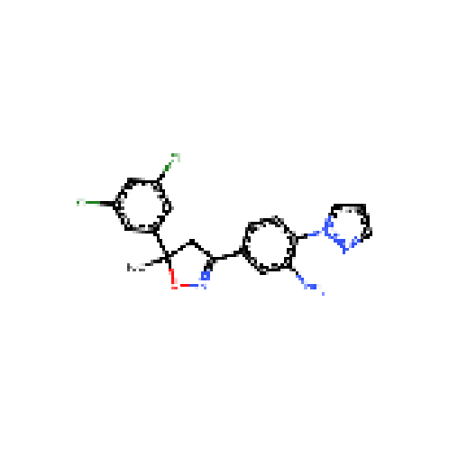 Nc1cc(C2=NOC(c3cc(Cl)cc(Cl)c3)(C(F)(F)F)C2)ccc1-n1cccn1